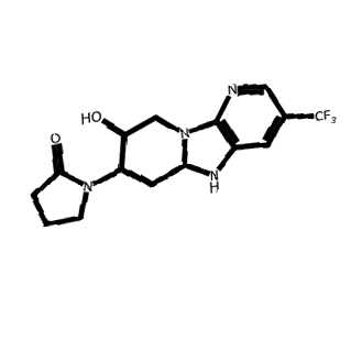 O=C1CCCN1C1CC2Nc3cc(C(F)(F)F)cnc3N2CC1O